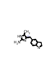 C=c1[nH]c(N)n/c1=C\c1ccc2c(c1)CC=N2